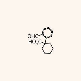 O=Cc1ccccc1C1(C(=O)O)CCCCC1